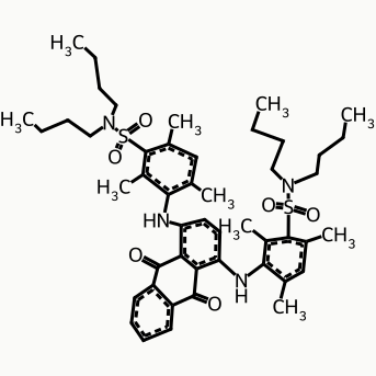 CCCCN(CCCC)S(=O)(=O)c1c(C)cc(C)c(Nc2ccc(Nc3c(C)cc(C)c(S(=O)(=O)N(CCCC)CCCC)c3C)c3c2C(=O)c2ccccc2C3=O)c1C